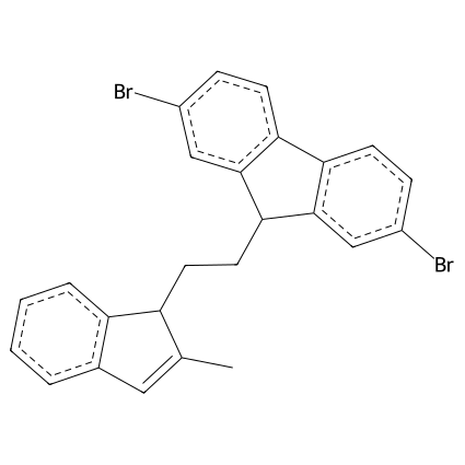 CC1=Cc2ccccc2C1CCC1c2cc(Br)ccc2-c2ccc(Br)cc21